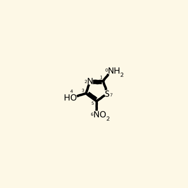 Nc1nc(O)c([N+](=O)[O-])s1